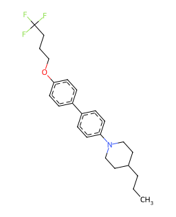 CCCC1CCN(c2ccc(-c3ccc(OCCCC(F)(F)F)cc3)cc2)CC1